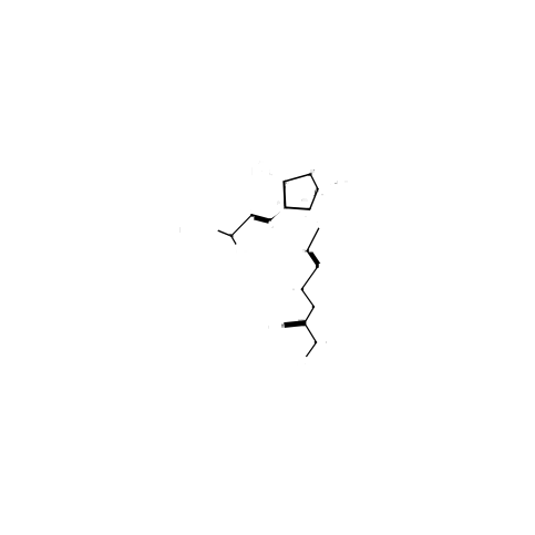 CCCCCC(O)C=C[C@@H]1[C@@H](CC=CCCC(=O)CO)[C@@H](O)C[C@H]1O